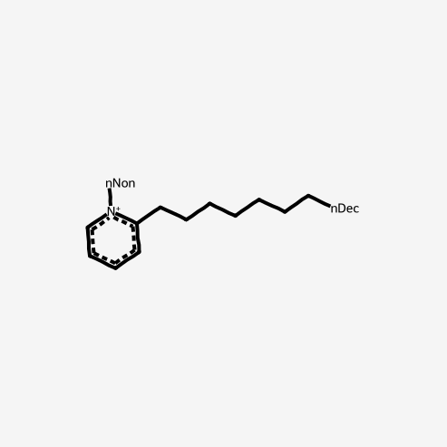 CCCCCCCCCCCCCCCCCc1cccc[n+]1CCCCCCCCC